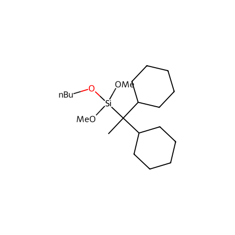 CCCCO[Si](OC)(OC)C(C)(C1CCCCC1)C1CCCCC1